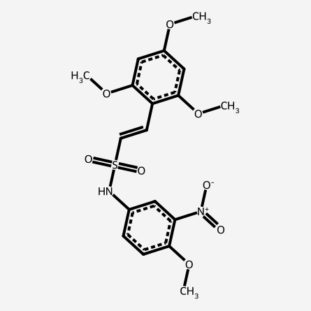 COc1cc(OC)c(/C=C/S(=O)(=O)Nc2ccc(OC)c([N+](=O)[O-])c2)c(OC)c1